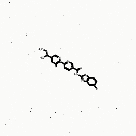 CCC(O)c1cnc(-c2ccc(C(=O)Nc3nc4cc(F)ccc4s3)cn2)c(F)c1